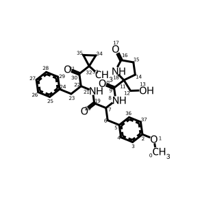 COc1ccc(CC(NC(=O)C2(CO)CCC(=O)N2)C(=O)NC(Cc2ccccc2)C(=O)C2(C)CC2)cc1